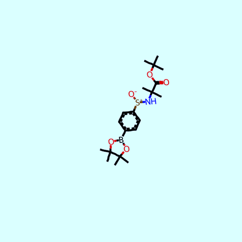 CC(C)(C)OC(=O)C(C)(C)N[S+]([O-])c1ccc(B2OC(C)(C)C(C)(C)O2)cc1